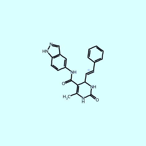 CC1=C(C(=O)Nc2ccc3[nH]ncc3c2)C(/C=C/c2ccccc2)NC(=O)N1